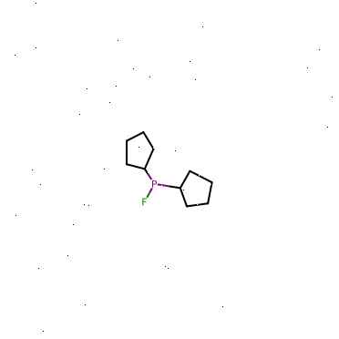 FP(C1CCCC1)C1CCCC1